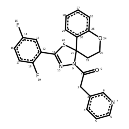 O=C(Cc1cccnc1)N1N=C(c2cc(F)ccc2F)SC12CCOc1ccccc12